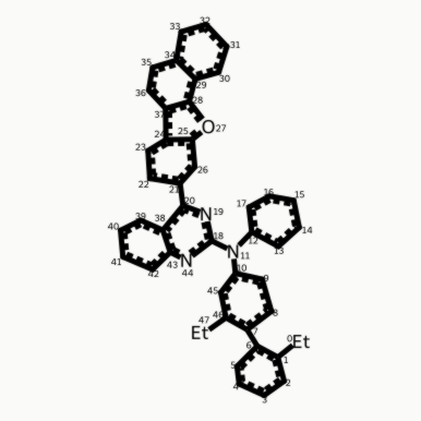 CCc1ccccc1-c1ccc(N(c2ccccc2)c2nc(-c3ccc4c(c3)oc3c5ccccc5ccc43)c3ccccc3n2)cc1CC